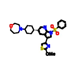 COc1nc(-c2cn(S(=O)(=O)c3ccccc3)c3ncc([C@H]4CC[C@H](N5CCCOCC5)CC4)cc23)cs1